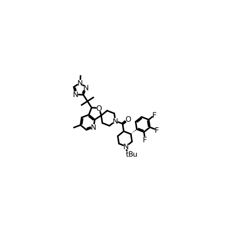 Cc1cnc2c(c1)C(C(C)(C)c1ncn(C)n1)OC21CCN(C(=O)C2CCN(C(C)(C)C)C[C@H]2c2ccc(F)c(F)c2F)CC1